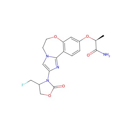 C[C@H](Oc1ccc2c(c1)OCCn1cc(N3C(=O)OCC3CF)nc1-2)C(N)=O